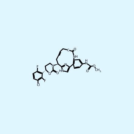 COC(=O)Nc1ccc2c(c1)NC(=O)CC/C=C/C[C@H](N1CC[C@@H](c3c(F)ccc(Cl)c3F)OC1=O)c1nc-2c[nH]1